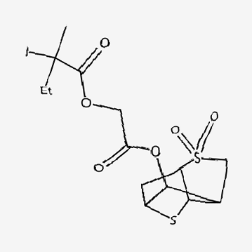 CCC(C)(I)C(=O)OCC(=O)OC1C2CC3C(S2)C1CS3(=O)=O